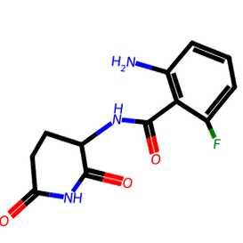 Nc1cccc(F)c1C(=O)NC1CCC(=O)NC1=O